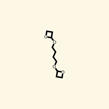 C(CCOC1CCO1)COC1CCO1